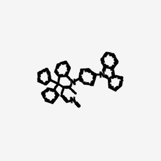 C=N/C=C\C1=C(C)N(c2ccc(-n3c4ccccc4c4ccccc43)cc2)c2ccccc2C1(c1ccccc1)c1ccccc1